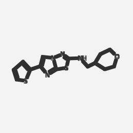 c1csc(-c2cn3nc(NCC4CCOCC4)sc3n2)c1